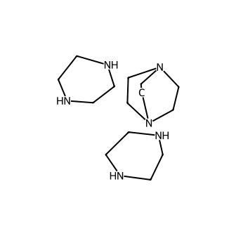 C1CN2CCN1CC2.C1CNCCN1.C1CNCCN1